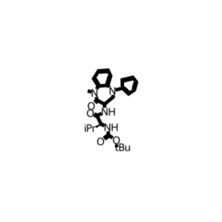 CC(C)[C@H](NC(=O)OC(C)(C)C)C(=O)NC1CN(c2ccccc2)c2ccccc2N(C)C1=O